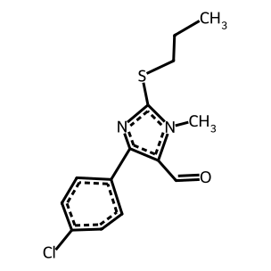 CCCSc1nc(-c2ccc(Cl)cc2)c(C=O)n1C